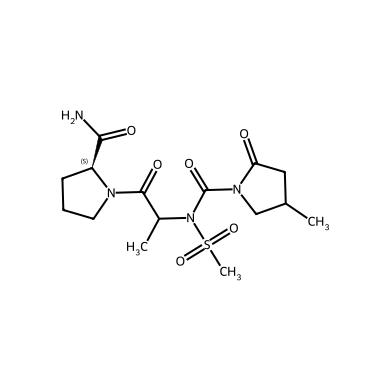 CC1CC(=O)N(C(=O)N(C(C)C(=O)N2CCC[C@H]2C(N)=O)S(C)(=O)=O)C1